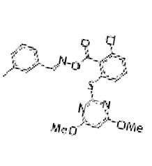 COc1cc(OC)nc(Sc2cccc(Cl)c2C(=O)O/N=C/c2cccc(C)c2)n1